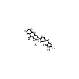 Cn1c(COc2ccc(CC3SC(=O)NC3=O)cc2)nc2ccccc2c1=O.[K]